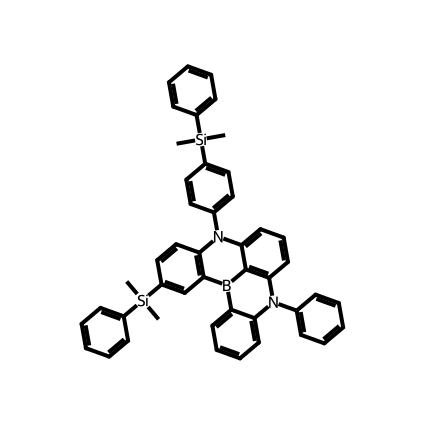 C[Si](C)(c1ccccc1)c1ccc(N2c3ccc([Si](C)(C)c4ccccc4)cc3B3c4ccccc4N(c4ccccc4)c4cccc2c43)cc1